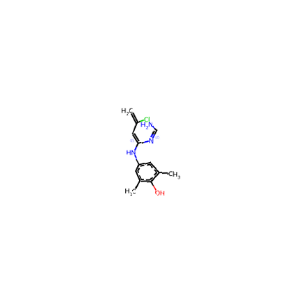 C=C(Cl)/C=C(\N=C/N)Nc1cc(C)c(O)c(C)c1